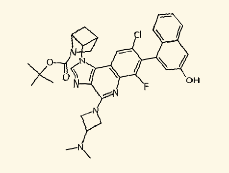 CN(C)C1CN(c2nc3c(F)c(-c4cc(O)cc5ccccc45)c(Cl)cc3c3c2ncn3C2C3CC2N(C(=O)OC(C)(C)C)C3)C1